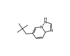 CC(C)(C)CC1=CN2NC=NC2C=C1